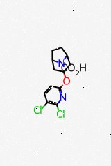 O=C(O)N1C2CCC1CC(Oc1ccc(Cl)c(Cl)n1)C2